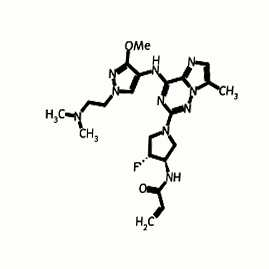 C=CC(=O)N[C@@H]1CN(c2nc(Nc3cn(CCN(C)C)nc3OC)c3ncc(C)n3n2)C[C@H]1F